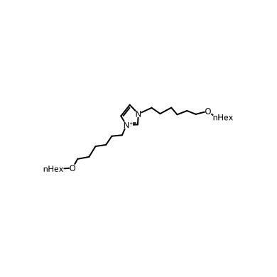 CCCCCCOCCCCCCn1cc[n+](CCCCCCOCCCCCC)c1